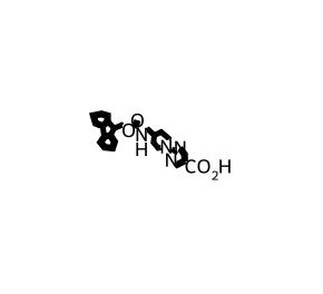 O=C(NCC1CCN(c2ncc(C(=O)O)cn2)CC1)OCC1c2ccccc2-c2ccccc21